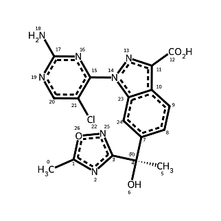 Cc1nc([C@](C)(O)c2ccc3c(C(=O)O)nn(-c4nc(N)ncc4Cl)c3c2)no1